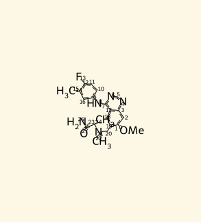 COc1cc2ncnc(Nc3ccc(F)c(C)c3)c2cc1CN(C)[C@H](C)C(N)=O